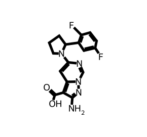 Nc1nn2cnc(N3CCCC3c3cc(F)ccc3F)cc2c1C(=O)O